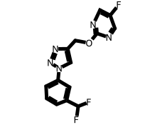 Fc1cnc(OCc2cn(-c3cccc(C(F)F)c3)nn2)nc1